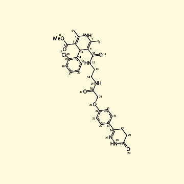 COC(=O)C1=C(C)NC(C)=C(C(=O)NCCNC(=O)COc2ccc(C3=NNC(=O)CC3)cc2)C1c1ccccc1Cl